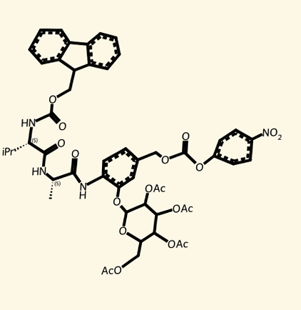 CC(=O)OCC1OC(Oc2cc(COC(=O)Oc3ccc([N+](=O)[O-])cc3)ccc2NC(=O)[C@H](C)NC(=O)[C@@H](NC(=O)OCC2c3ccccc3-c3ccccc32)C(C)C)C(OC(C)=O)C(OC(C)=O)C1OC(C)=O